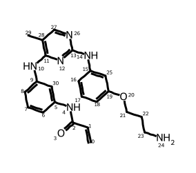 C=CC(=O)Nc1cccc(Nc2nc(Nc3cccc(OCCCN)c3)ncc2C)c1